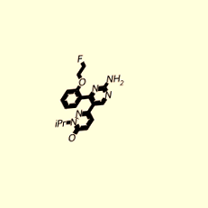 CC(C)n1nc(-c2cnc(N)nc2-c2ccccc2OCCF)ccc1=O